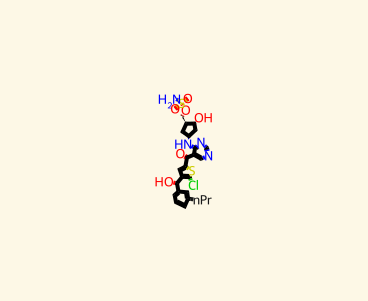 CCCc1cccc(C(O)c2cc(C(=O)c3cncnc3N[C@@H]3C[C@H](COS(N)(=O)=O)[C@@H](O)C3)sc2Cl)c1